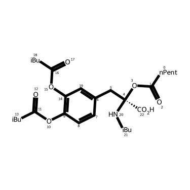 CCCCCC(=O)O[C@](Cc1ccc(OC(=O)C(C)CC)c(OC(=O)C(C)CC)c1)(NC(C)CC)C(=O)O